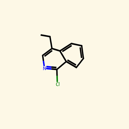 CCc1cnc(Cl)c2ccccc12